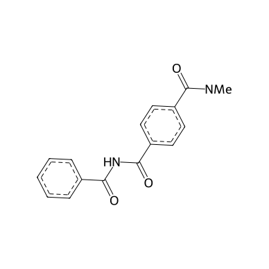 CNC(=O)c1ccc(C(=O)NC(=O)c2ccccc2)cc1